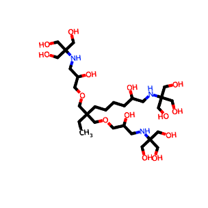 CCC(CCCCC(O)CNC(CO)(CO)CO)(COCC(O)CNC(CO)(CO)CO)COCC(O)CNC(CO)(CO)CO